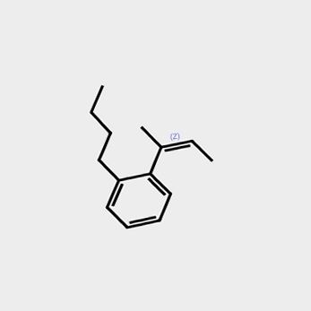 C/C=C(/C)c1ccccc1CCCC